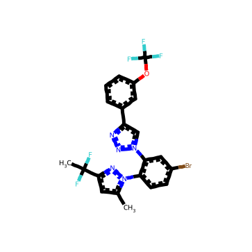 Cc1cc(C(C)(F)F)nn1-c1ccc(Br)cc1-n1cc(-c2cccc(OC(F)(F)F)c2)nn1